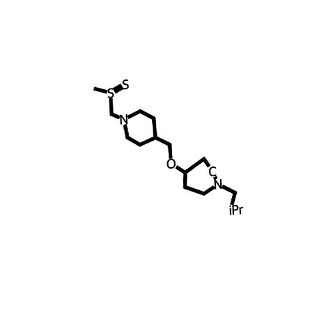 CC(C)CN1CCC(OCC2CCN(CS(C)=S)CC2)CC1